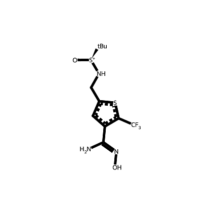 CC(C)(C)[S@+]([O-])NCc1cc(C(N)=NO)c(C(F)(F)F)s1